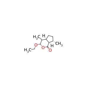 CCOC1OC(=O)[C@H]2[C@H](CC[C@@H]2C)C1C